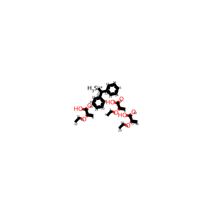 C=C(OCC)C(=O)O.C=C(OCC)C(=O)O.C=C(OCC)C(=O)O.[SiH3]C(c1ccccc1)c1ccccc1